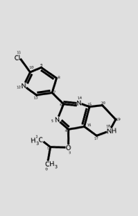 CC(C)Oc1nc(-c2ccc(Cl)nc2)nc2c1CNCC2